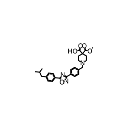 COC(=O)C1(C(=O)O)CCN(Cc2ccc(-c3noc(-c4ccc(CC(C)C)cc4)n3)cc2)CC1